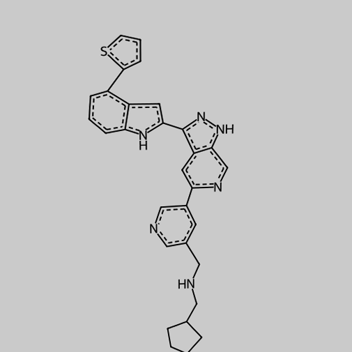 c1csc(-c2cccc3[nH]c(-c4n[nH]c5cnc(-c6cncc(CNCC7CCCC7)c6)cc45)cc23)c1